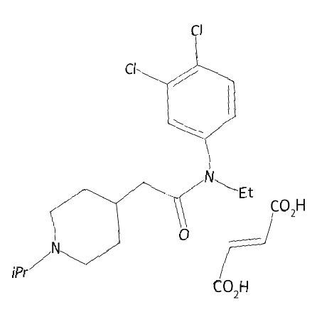 CCN(C(=O)CC1CCN(C(C)C)CC1)c1ccc(Cl)c(Cl)c1.O=C(O)/C=C/C(=O)O